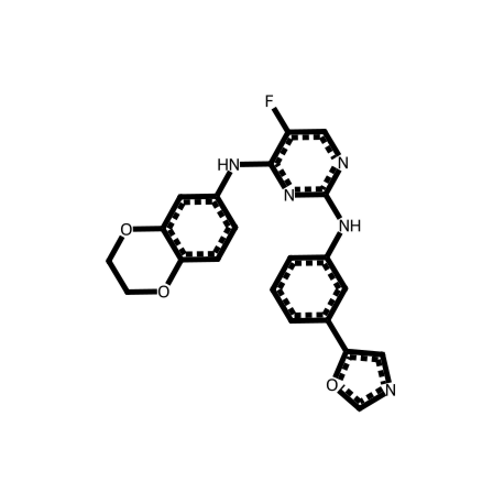 Fc1cnc(Nc2cccc(-c3cnco3)c2)nc1Nc1ccc2c(c1)OCCO2